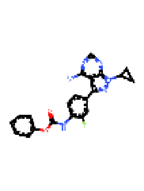 Nc1ncnc2c1c(-c1ccc(NC(=O)Oc3ccccc3)c(F)c1)nn2C1CC1